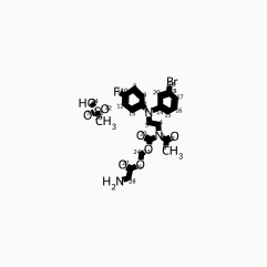 CC(=O)N(CCN(c1ccc(F)cc1)c1cccc(Br)c1)C(=O)OCOC(=O)CN.CS(=O)(=O)O